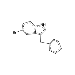 Brc1ccc2[nH]cc(Cc3ccccc3)c2c1